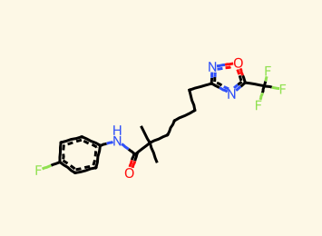 CC(C)(CCCCc1noc(C(F)(F)F)n1)C(=O)Nc1ccc(F)cc1